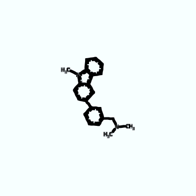 CN(C)Cc1cccc(-c2ccc3c(c2)c2ccccc2n3C)c1